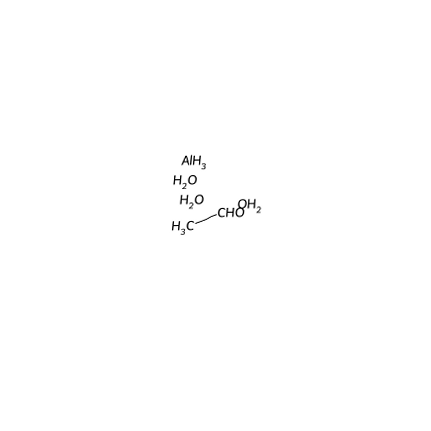 CC=O.O.O.O.[AlH3]